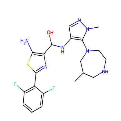 CC1CNCCN(c2c(NC(O)c3nc(-c4c(F)cccc4F)sc3N)cnn2C)C1